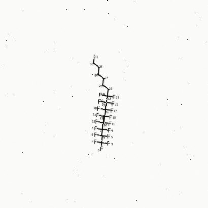 FC(F)(F)C(F)(F)C(F)(F)C(F)(F)C(F)(F)C(F)(F)C(F)(F)C(F)(F)CCCCCCI